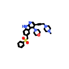 CN1CCN(CC#Cc2cnc3[nH]c4ccc(CS(=O)(=O)c5ccccc5)cc4c3c2N2CCOCC2)CC1